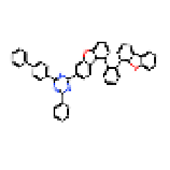 c1ccc(-c2ccc(-c3nc(-c4ccccc4)nc(-c4ccc5c(c4)oc4cccc(-c6ccccc6-c6cccc7c6oc6ccccc67)c45)n3)cc2)cc1